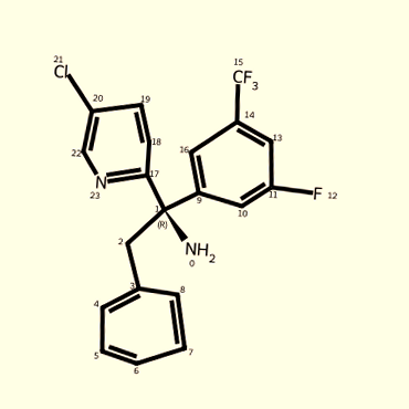 N[C@](Cc1ccccc1)(c1cc(F)cc(C(F)(F)F)c1)c1ccc(Cl)cn1